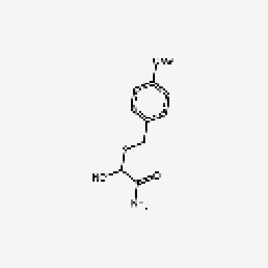 COc1ccc(CSC(C#N)C(N)=O)cc1